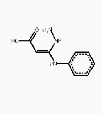 NNC(=CC(=O)O)Nc1ccccc1